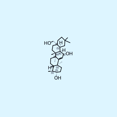 C[C@@H]1[C@@H](O)CC[C@]2(C)C3=C[C@@H](O)[C@@H]4[C@@H]5CC(C)(C)CC[C@]5(CO)CC[C@@]4(C)[C@]3(C)CC[C@@H]12